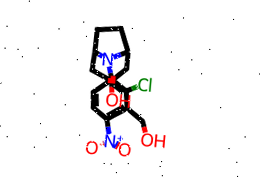 O=[N+]([O-])c1ccc(N2C3CCC2CC(O)C3)c(Cl)c1CO